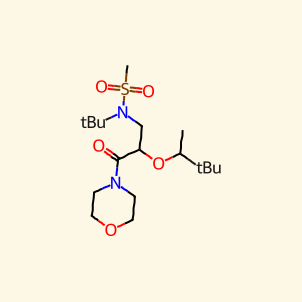 CC(OC(CN(C(C)(C)C)S(C)(=O)=O)C(=O)N1CCOCC1)C(C)(C)C